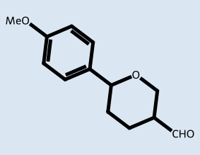 COc1ccc(C2CCC(C=O)CO2)cc1